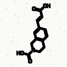 O=C(O)/C=C/c1ccc2c(c1)CN(C(=O)O)CC2